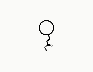 COC(=O)C=CC1CCCCCCCCCCC1